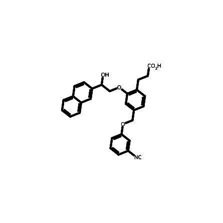 [C-]#[N+]c1cccc(OCc2ccc(CCC(=O)O)c(OCC(O)c3ccc4ccccc4c3)c2)c1